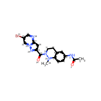 CC(=O)Nc1ccc2c(c1)CCN(C(=O)c1cc3ncc(Br)cn3n1)N2C